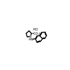 Cl.O=C(O)[C@@H]1CCCN1Nc1ccc2ccccc2c1